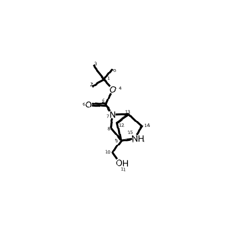 CC(C)(C)OC(=O)N1CC2(CO)CC1CN2